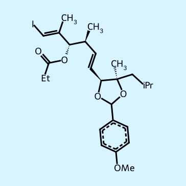 CCC(=O)O[C@H](/C(C)=C/I)[C@@H](C)/C=C/[C@@H]1OC(c2ccc(OC)cc2)O[C@]1(C)CC(C)C